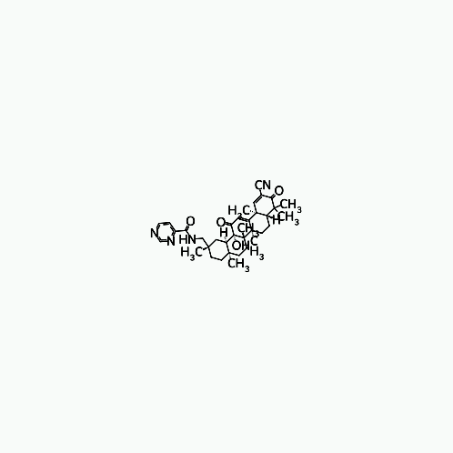 CC1(C)C(=O)C(C#N)=C[C@]2(C)C3=CC(=O)[C@]4(O)[C@@H]5C[C@@](C)(CNC(=O)c6ccncn6)CC[C@]5(C)CC[C@@]4(C)[C@]3(C)CC[C@@H]12